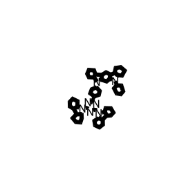 c1ccc(-n2c3ccccc3c3cc4c5ccccc5n(-c5ccc(-c6nc(-n7c8ccccc8c8ccccc87)nc(-n7c8ccccc8c8ccccc87)n6)cc5)c4cc32)cc1